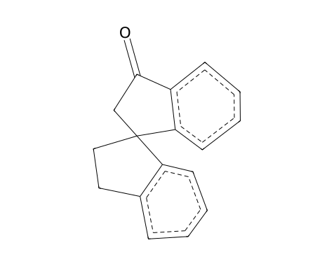 O=C1CC2(CCc3ccccc32)c2ccccc21